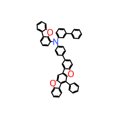 c1ccc(-c2cccc(N(c3ccc(-c4ccc5oc6c(-c7ccccc7)c7c(cc6c5c4)oc4ccccc47)cc3)c3cccc4c3oc3ccccc34)c2)cc1